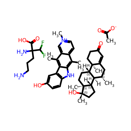 CC(=O)[O-].C[C@H]1CC2=CC(=O)CC[C@]2(C)[C@H]2CC[C@@]3(C)[C@@H](CC[C@]3(C)O)[C@H]12.Cc1c2cc[n+](C)cc2c(C)c2c1[nH]c1ccc(O)cc12.NCCCC(N)(C(=O)O)C(F)F